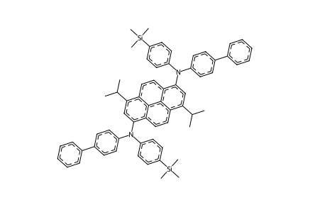 CC(C)c1cc(N(c2ccc(-c3ccccc3)cc2)c2ccc([Si](C)(C)C)cc2)c2ccc3c(C(C)C)cc(N(c4ccc(-c5ccccc5)cc4)c4ccc([Si](C)(C)C)cc4)c4ccc1c2c34